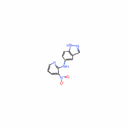 O=[N+]([O-])c1cccnc1Nc1ccc2[nH]ncc2c1